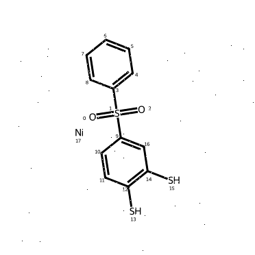 O=S(=O)(c1ccccc1)c1ccc(S)c(S)c1.[Ni]